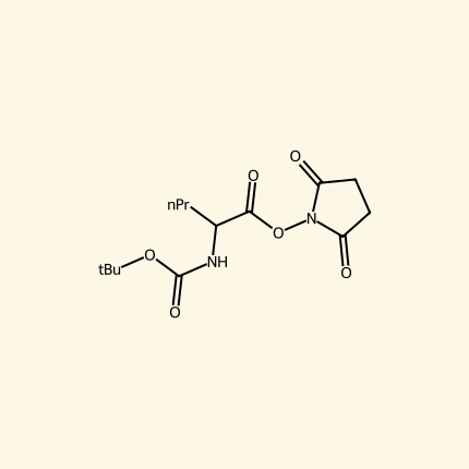 CCCC(NC(=O)OC(C)(C)C)C(=O)ON1C(=O)CCC1=O